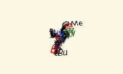 COC(=O)CCCc1[nH]c2c3c(cc(Cl)c2c1Cl)CN(CC1CCCN(C(=O)OC(C)(C)C)C1)S(=O)(=O)N3COCC[Si](C)(C)C